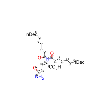 CCCCCCCCCCCCCCCC(=O)N(C(=O)CCCCCCCCCCCCCCC)[C@@H](CCC(N)=O)C(=O)O